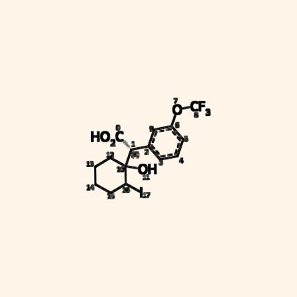 O=C(O)[C@H](c1cccc(OC(F)(F)F)c1)C1(O)CCCCC1I